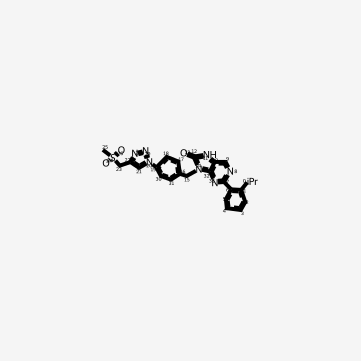 CC(C)c1ccccc1-c1ncc2[nH]c(=O)n(Cc3ccc(-n4cc(CS(C)(=O)=O)nn4)cc3)c2n1